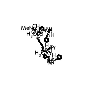 CN[C@@H](C)C(=O)N[C@H](C(=O)N1CCC[C@H]1Cn1nnnc1NCc1ccccc1)C(C)OCC#CC#CCO[C@H](C)[C@H](NC(=O)C(C)C)C(=O)N1CCCC1Cn1nnnc1NCc1ccccc1